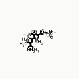 C=C(F)/C(=C\C(C(C)=O)=C(/CC)CN)C1=c2c(N)noc2=C(c2cnn(CO[PH](=O)O)c2)CN1C